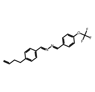 C=CCCc1ccc(C=NN=Cc2ccc(OC(F)(F)F)cc2)cc1